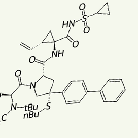 C=C[C@@H]1C[C@]1(NC(=O)[C@@H]1C[C@@](SCCCC)(c2ccc(-c3ccccc3)cc2)CN1C(=O)[C@@H](N(C(=O)O)C(C)(C)C)C(C)(C)C)C(=O)NS(=O)(=O)C1CC1